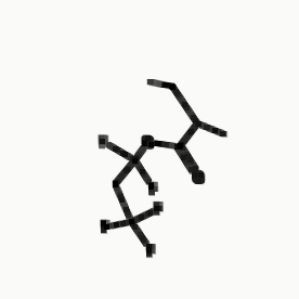 CCC(C)C(=O)OC(F)(F)CC(F)(F)F